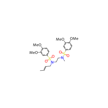 CC=CCN(CCN(C)S(=O)(=O)c1ccc(OC)c(OC)c1)S(=O)(=O)c1ccc(OC)c(OC)c1